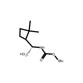 CC(C)(C)OC(=O)N[C@H](C(=O)O)C1CCC1(C)C